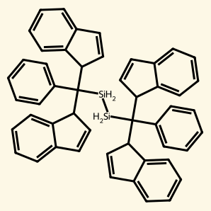 C1=CC(C([SiH2][SiH2]C(c2ccccc2)(C2C=Cc3ccccc32)C2C=Cc3ccccc32)(c2ccccc2)C2C=Cc3ccccc32)c2ccccc21